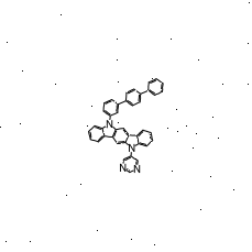 c1ccc(-c2ccc(-c3cccc(-n4c5ccccc5c5cc6c(cc54)c4ccccc4n6-c4cncnc4)c3)cc2)cc1